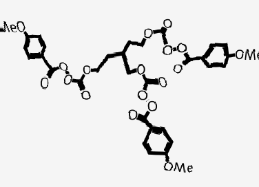 COc1ccc(C(=O)OOC(=O)OCCC(CCOC(=O)OOC(=O)c2ccc(OC)cc2)COC(=O)OOC(=O)c2ccc(OC)cc2)cc1